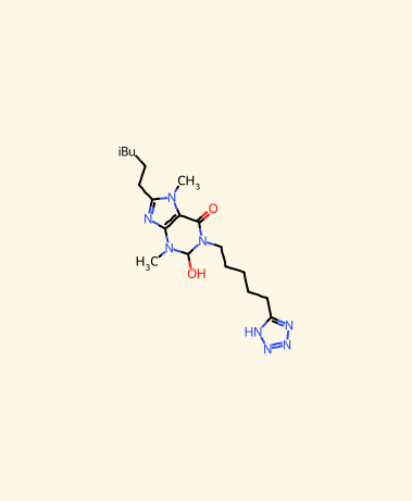 CCC(C)CCc1nc2c(n1C)C(=O)N(CCCCCc1nnn[nH]1)C(O)N2C